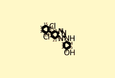 Oc1ccc(Nc2nnc3cc(-c4c(Cl)cccc4Cl)ccc3n2)cc1